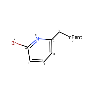 CCCCCCc1cccc(Br)n1